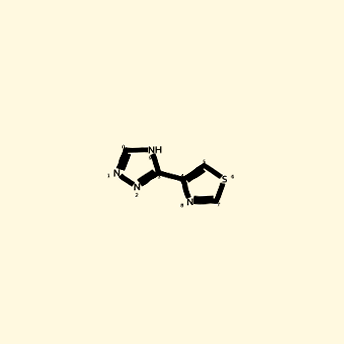 c1nnc(-c2cscn2)[nH]1